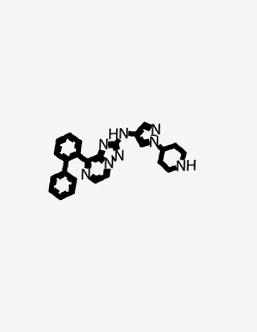 c1ccc(-c2ccccc2-c2nccn3nc(Nc4cnn(C5CCNCC5)c4)nc23)cc1